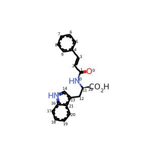 O=C(/C=C/c1ccccc1)N[C@H](Cc1c[nH]c2ccccc12)C(=O)O